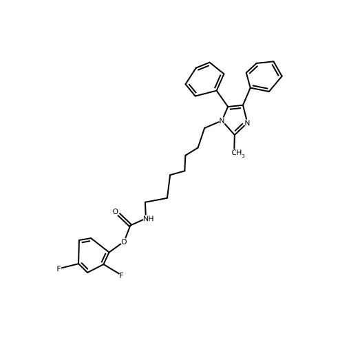 Cc1nc(-c2ccccc2)c(-c2ccccc2)n1CCCCCCCNC(=O)Oc1ccc(F)cc1F